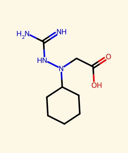 N=C(N)NN(CC(=O)O)C1CCCCC1